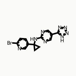 Brc1ccc(C2(Nc3ncc(-c4nnn[nH]4)cn3)CC2)cn1